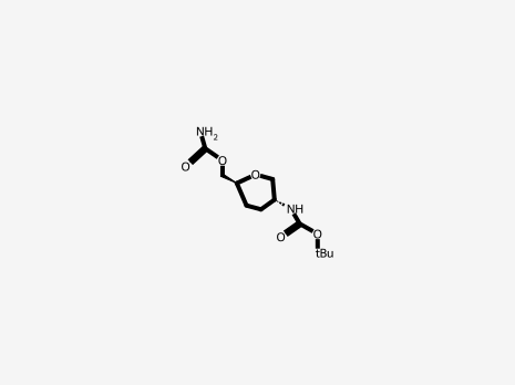 CC(C)(C)OC(=O)N[C@@H]1CC[C@@H](COC(N)=O)OC1